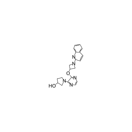 OC1CCN(c2nccnc2OC2CN(c3ccc4ccccc4n3)C2)C1